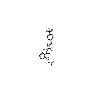 C=C(NC(=O)/N=C(\C)c1ccc(C(F)(F)F)cc1)c1c(C)cccc1OCC(C)C